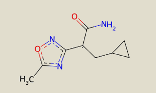 Cc1nc([C](CC2CC2)C(N)=O)no1